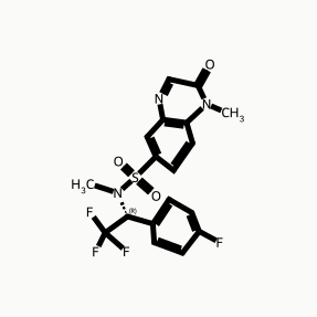 CN([C@H](c1ccc(F)cc1)C(F)(F)F)S(=O)(=O)c1ccc2c(c1)ncc(=O)n2C